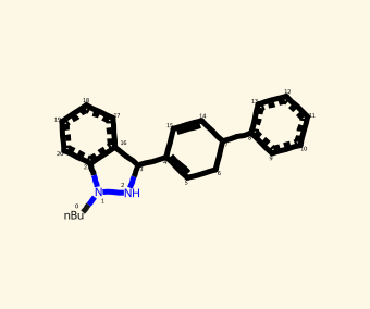 CCCCN1NC(C2=CCC(c3ccccc3)C=C2)c2ccccc21